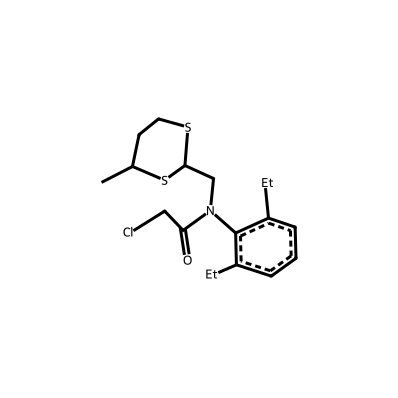 CCc1cccc(CC)c1N(CC1SCCC(C)S1)C(=O)CCl